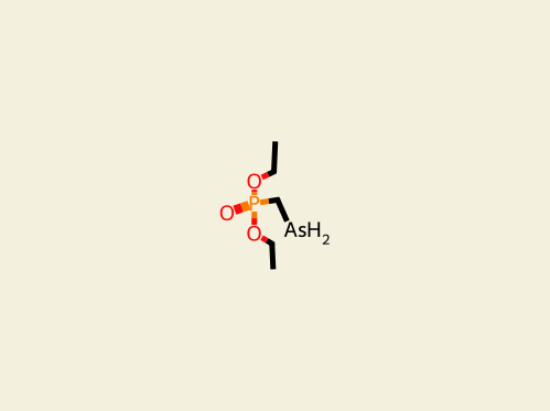 CCOP(=O)(C[AsH2])OCC